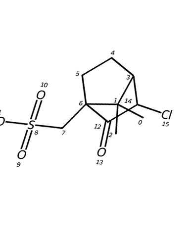 CC1(C)C2CCC1(CS(=O)(=O)O)C(=O)C2Cl